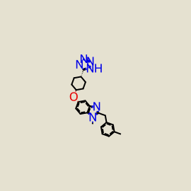 Cc1cccc(Cc2nc3cc(O[C@H]4CC[C@@H](c5nnn[nH]5)CC4)ccc3n2C)c1